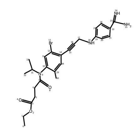 CCOC(=O)CCC(=O)N(c1cc(Br)c(C#CCNc2ccc(C(=N)N)cc2)cc1C)C(C)C